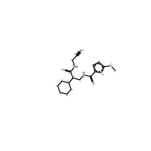 CSc1ccc(C(=O)NCC(C(=O)NCC#N)C2CCCCC2)s1